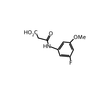 COc1cc(F)cc(NC(=O)CC(=O)O)c1